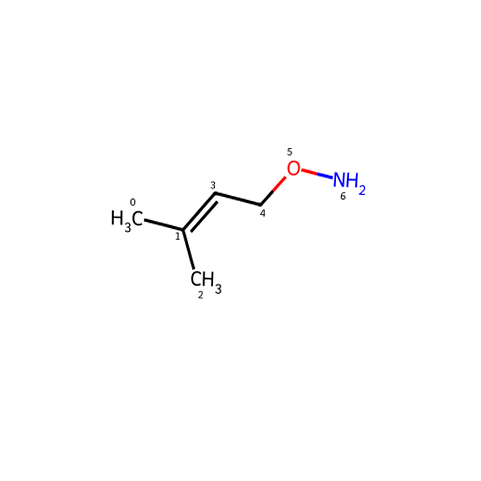 CC(C)=CCON